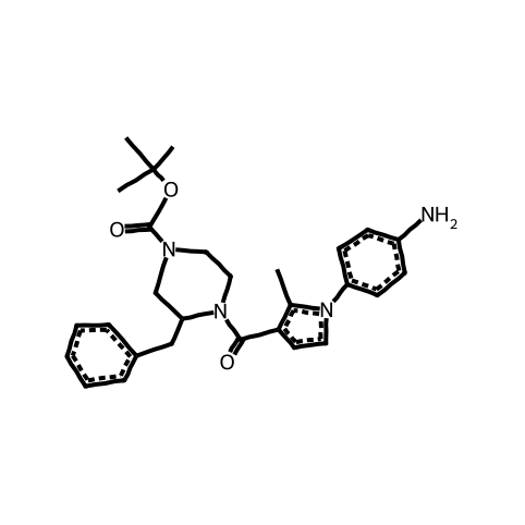 Cc1c(C(=O)N2CCN(C(=O)OC(C)(C)C)CC2Cc2ccccc2)ccn1-c1ccc(N)cc1